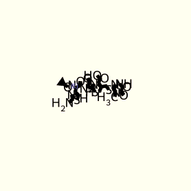 Cn1c(SCC2=C(C(=O)O)N3C(=O)[C@@H](NC(=O)/C(=N/OC4CC4)c4csc(N)n4)[C@H]3SC2)n[nH]c(=O)c1=O